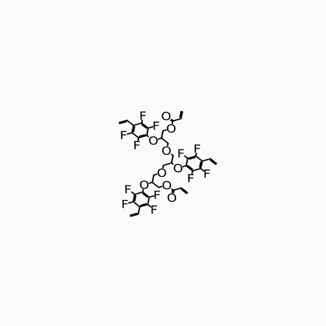 C=CC(=O)OCC(COCC(COCC(COC(=O)C=C)Oc1c(F)c(F)c(C=C)c(F)c1F)Oc1c(F)c(F)c(C=C)c(F)c1F)Oc1c(F)c(F)c(C=C)c(F)c1F